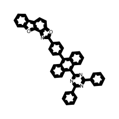 c1ccc(-c2nc(-c3ccccc3)nc(-c3c4ccccc4c(-c4ccc(-c5nc6c(ccc7c8ccccc8oc76)o5)cc4)c4ccccc34)n2)cc1